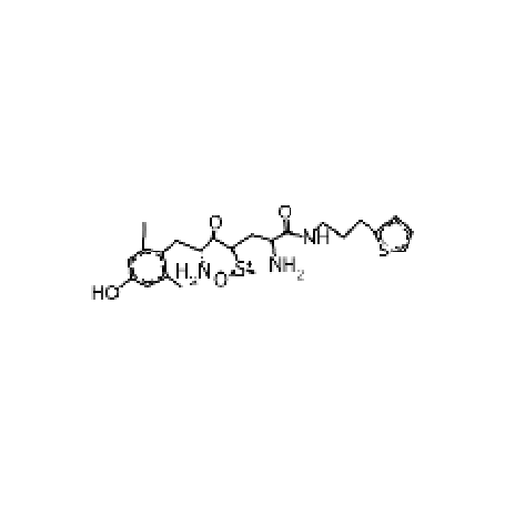 Cc1cc(O)cc(C)c1C[C@@H](N)C(=O)C(CC(N)C(=O)NCCCc1cccs1)[S+](C)[O-]